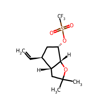 C=C[C@H]1C[C@H](OS(=O)(=O)C(F)(F)F)[C@@H]2OC(C)(C)C[C@@H]21